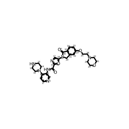 O=C(Nc1cnccc1N1CCNCC1)c1ncc(N2Cc3cc(OCCN4CCOCC4)ccc3C2=O)o1